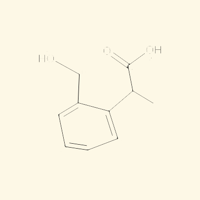 CC(C(=O)O)c1ccccc1CO